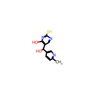 Cc1ccc(C(O)c2cnc(S)nc2O)cn1